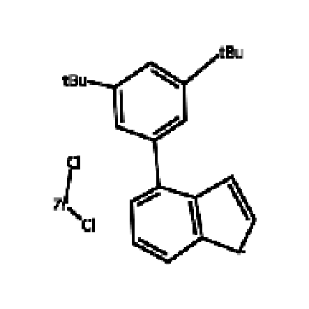 CC(C)(C)c1cc(-c2cccc3c2C=C[CH]3)cc(C(C)(C)C)c1.[Cl][Zr][Cl]